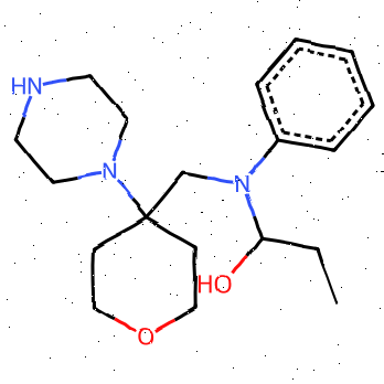 CCC(O)N(CC1(N2CCNCC2)CCOCC1)c1ccccc1